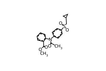 COC(=O)c1ccccc1N(C(C)=O)c1ccc(S(=O)(=O)CC2CC2)cc1